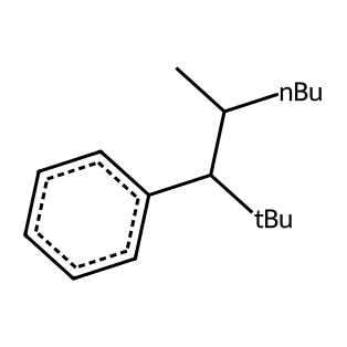 CCCCC(C)C(c1ccccc1)C(C)(C)C